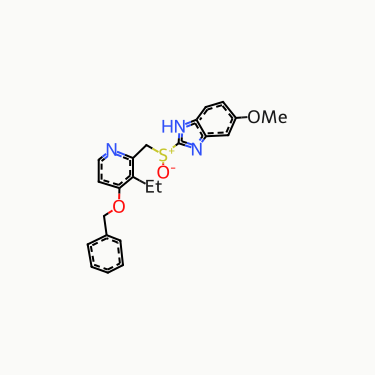 CCc1c(OCc2ccccc2)ccnc1C[S+]([O-])c1nc2cc(OC)ccc2[nH]1